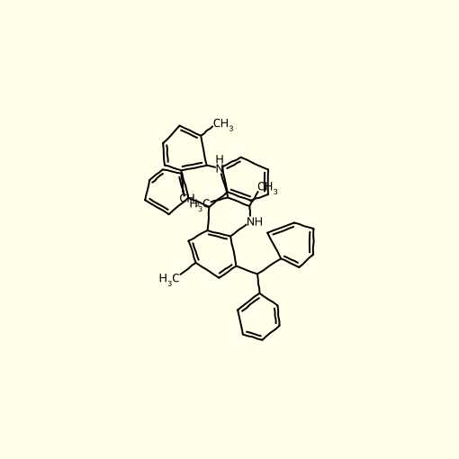 Cc1cc(C(c2ccccc2)c2ccccc2)c(NC(C)C(C)Nc2c(C)cccc2C)c(C(c2ccccc2)c2ccccc2)c1